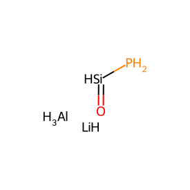 O=[SiH]P.[AlH3].[LiH]